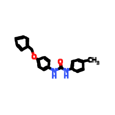 Cc1ccc(NC(=O)Nc2ccc(OCc3ccccc3)cc2)cc1